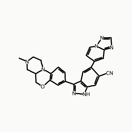 CN1CCN2c3ccc(-c4n[nH]c5cc(C#N)c(-c6ccn7ncnc7c6)cc45)cc3OCC2C1